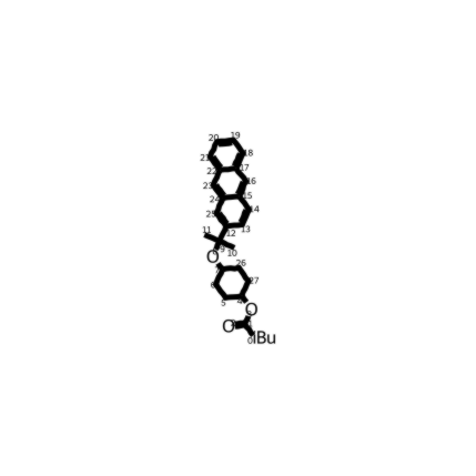 CCC(C)C(=O)OC1CCC(OC(C)(C)c2ccc3cc4ccccc4cc3c2)CC1